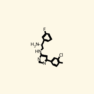 Cc1ccc(-c2cc(NC[C@H](N)c3cccc(F)c3)ncn2)cc1Cl